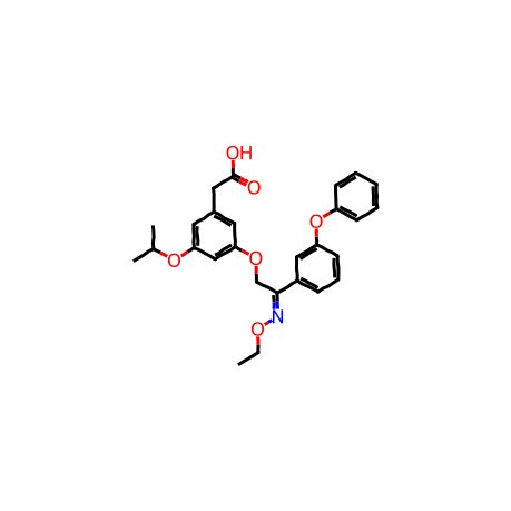 CCO/N=C(\COc1cc(CC(=O)O)cc(OC(C)C)c1)c1cccc(Oc2ccccc2)c1